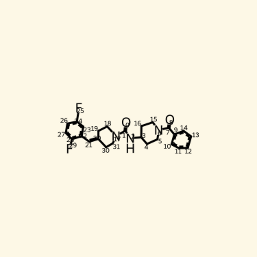 O=C(NC1CCN(C(=O)c2ccccc2)CC1)N1CCC(=Cc2cc(F)ccc2F)CC1